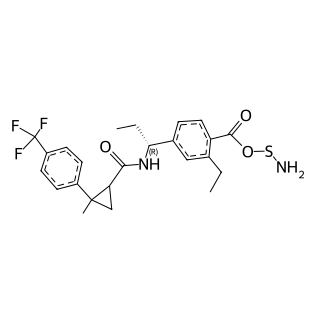 CCc1cc([C@@H](CC)NC(=O)C2CC2(C)c2ccc(C(F)(F)F)cc2)ccc1C(=O)OSN